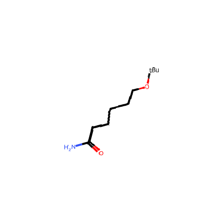 CC(C)(C)OCCCCCC(N)=O